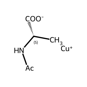 CC(=O)N[C@@H](C)C(=O)[O-].[Cu+]